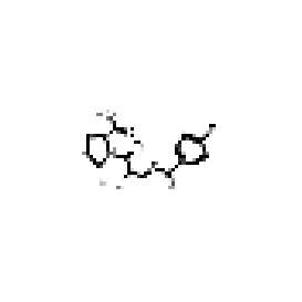 CC(CSC(=S)c1ccc(F)cc1)C(=O)N1CCC[C@H]1C(=O)O